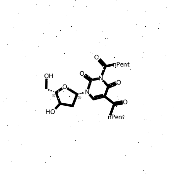 CCCCCC(=O)c1cn([C@@H]2CC(O)[C@H](CO)O2)c(=O)n(C(=O)CCCCC)c1=O